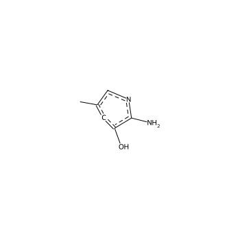 Cc1cnc(N)c(O)c1